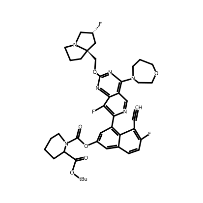 C#Cc1c(F)ccc2cc(OC(=O)N3CCCCC3C(=O)OC(C)(C)C)cc(-c3ncc4c(N5CCCOCC5)nc(OC[C@@]56CCCN5C[C@H](F)C6)nc4c3F)c12